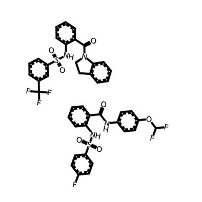 O=C(Nc1ccc(OC(F)F)cc1)c1ccccc1NS(=O)(=O)c1ccc(F)cc1.O=C(c1ccccc1NS(=O)(=O)c1cccc(C(F)(F)F)c1)N1CCc2ccccc21